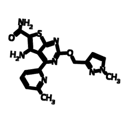 Cc1cccc(-c2nc(OCc3ccn(C)n3)nc3sc(C(N)=O)c(N)c23)n1